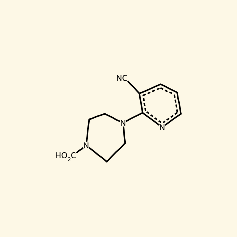 N#Cc1cccnc1N1CCN(C(=O)O)CC1